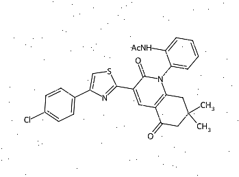 CC(=O)Nc1ccccc1-n1c2c(cc(-c3nc(-c4ccc(Cl)cc4)cs3)c1=O)C(=O)CC(C)(C)C2